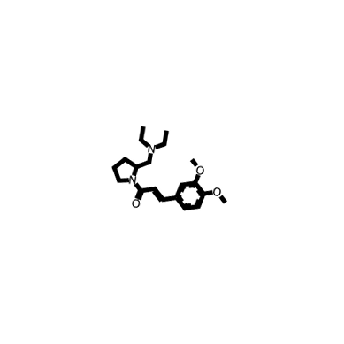 CCN(CC)CC1CCCN1C(=O)C=Cc1ccc(OC)c(OC)c1